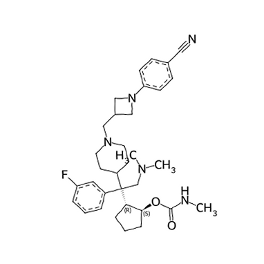 CNC(=O)O[C@H]1CCC[C@@H]1C(CN(C)C)(c1cccc(F)c1)C1CCN(CC2CN(c3ccc(C#N)cc3)C2)CC1